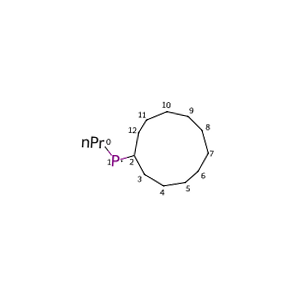 CCC[P]C1CCCCCCCCCC1